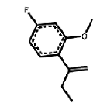 C=C(CC)c1ccc(F)cc1OC